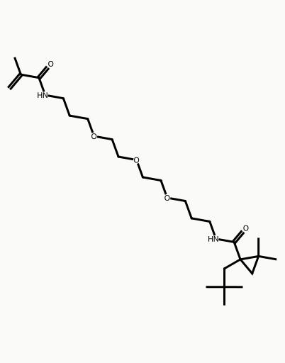 C=C(C)C(=O)NCCCOCCOCCOCCCNC(=O)C1(CC(C)(C)C)CC1(C)C